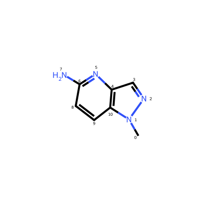 Cn1ncc2nc(N)ccc21